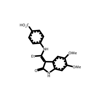 CCC(Nc1ccc(C(=O)O)cc1)=C1C(=O)Nc2cc(OC)c(OC)cc21